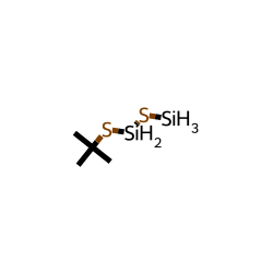 CC(C)(C)S[SiH2]S[SiH3]